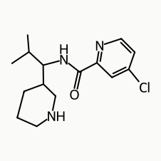 CC(C)C(NC(=O)c1cc(Cl)ccn1)C1CCCNC1